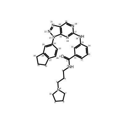 O=C(NCCCN1CCCC1)c1cccc(Nc2ncc3nnn(-c4ccc5c(c4)CCC5)c3n2)c1